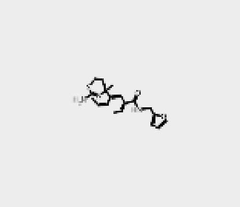 C\C=C/C(=C\C(=C/C)C(=O)NCc1ccco1)C1(C)CCSC(N)=N1